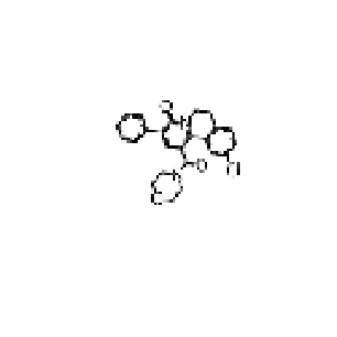 O=C(c1cc(-c2ccccc2)c(=O)n2c1-c1cc(Cl)ccc1CC2)N1CCOCC1